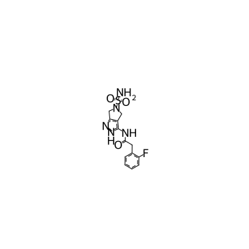 NS(=O)(=O)N1Cc2n[nH]c(NC(=O)Cc3ccccc3F)c2C1